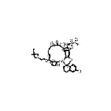 CCN(CC)S(=O)(=O)NC(=O)[C@@]1(O)CC(=O)N(C)CC/C=C/[C@H](OCCN2CC(F)(F)C2)[C@@H]2CC[C@H]2CN2C[C@@]3(CCCc4cc(Cl)ccc43)COc3ccc1cc32